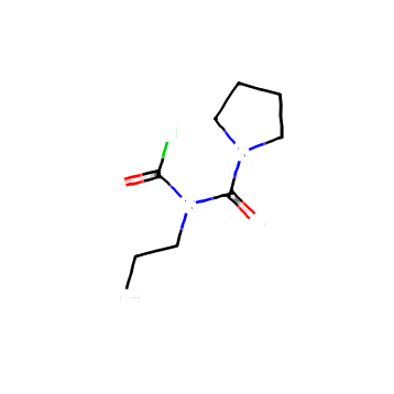 CCCN(C(=O)Cl)C(=O)N1CCCC1